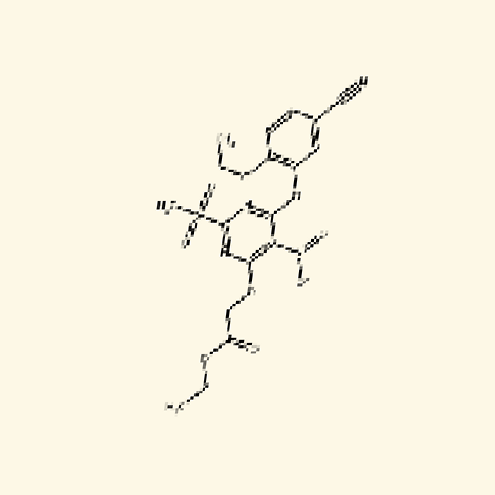 CCOC(=O)COc1nc(S(C)(=O)=O)nc(Oc2cc(C#N)ccc2OCC)c1[N+](=O)[O-]